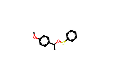 COc1ccc(C(C)OSc2ccccc2)cc1